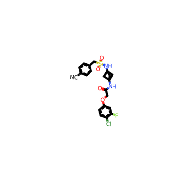 N#Cc1ccc(CS(=O)(=O)NC23CC(NC(=O)COc4ccc(Cl)c(F)c4)(C2)C3)cc1